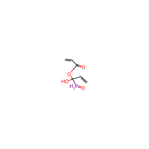 C=CC(=O)OC(O)(C=C)[PH2]=O